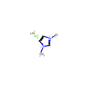 Br.CC[n+]1ccn(C)c1.Cl